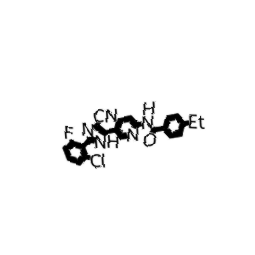 CCc1ccc(C(=O)Nc2ccc(-c3[nH]c(-c4c(F)cccc4Cl)nc3C#N)cn2)cc1